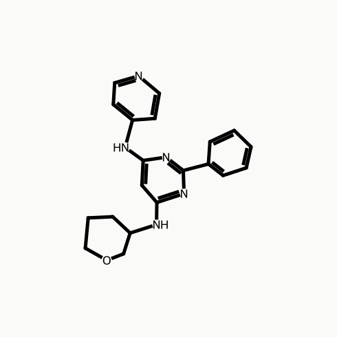 c1ccc(-c2nc(Nc3ccncc3)cc(NC3CCCOC3)n2)cc1